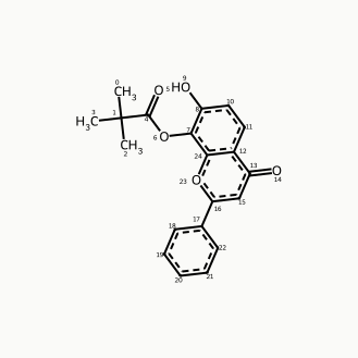 CC(C)(C)C(=O)Oc1c(O)ccc2c(=O)cc(-c3ccccc3)oc12